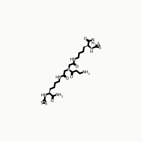 NCCC(=O)N(CC(=O)NCCCC[C@H](NC1SS1)C(N)=O)CC(=O)NCCCC[C@H](NC1SS1)C(N)=O